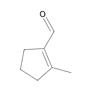 CC1=C(C=O)CCC1